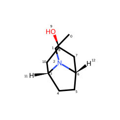 CCN1[C@@H]2CC[C@H]1C[C@H](O)C2